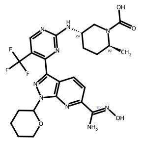 C[C@H]1CC[C@H](Nc2ncc(C(F)(F)F)c(-c3nn(C4CCCCO4)c4nc(/C(N)=N/O)ccc34)n2)CN1C(=O)O